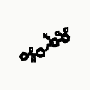 N#C[C@@H]1CN(c2cccc(Cl)c2Cl)CCN1CC[C@H]1CC[C@H](NC(=O)N2CCCC2)CC1